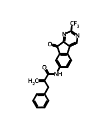 C=C(Cc1ccccc1)C(=O)Nc1ccc2c(c1)C(=O)c1nc(C(F)(F)F)ncc1-2